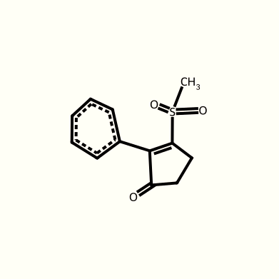 CS(=O)(=O)C1=C(c2ccccc2)C(=O)CC1